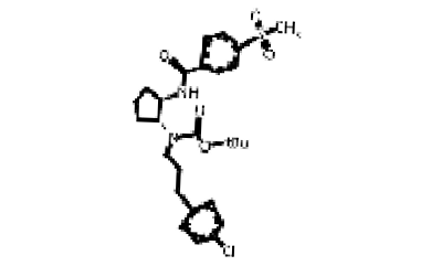 CC(C)(C)OC(=O)N(CCCc1ccc(Cl)cc1)[C@@H]1CCC[C@H]1NC(=O)c1ccc(S(C)(=O)=O)cc1